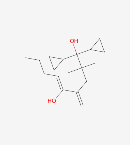 C=C(CC(C)(C)C(O)(C1CC1)C1CC1)C(O)=CCCC